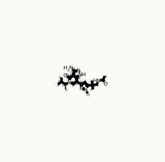 CC(=O)NCC(C)(C)c1cc(-c2cn([C@@H](C)C(C)C)c(=O)c3c(N)n[nH]c23)nn1C